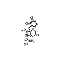 COC(=O)C1(Cc2cccc(Cl)c2Cl)CCNCC1C(=O)[C@@H](N)CS